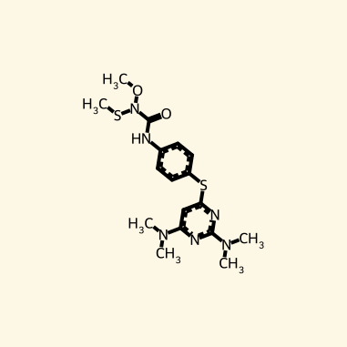 CON(SC)C(=O)Nc1ccc(Sc2cc(N(C)C)nc(N(C)C)n2)cc1